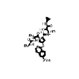 CCC[C@H](NC(=O)[C@@H]1C[C@@H](Oc2nccc3cc(OC)ccc23)CN1C(=O)[C@@H](NC(=O)NC(C)(C)C)C(C)(C)C)C(O)C(=O)NC1CC1